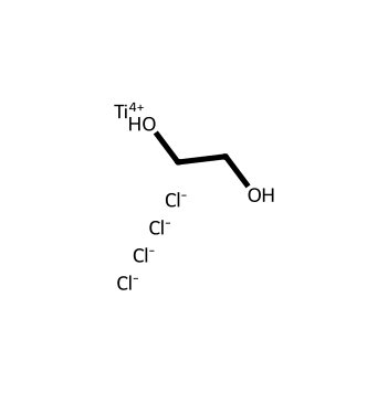 OCCO.[Cl-].[Cl-].[Cl-].[Cl-].[Ti+4]